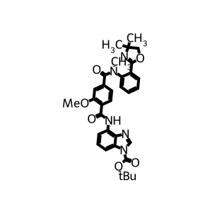 COc1cc(C(=O)N(C)c2ccccc2C2=NC(C)(C)CO2)ccc1C(=O)Nc1cccc2c1ncn2C(=O)OC(C)(C)C